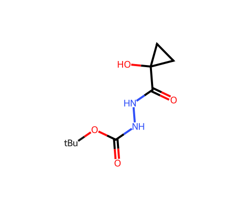 CC(C)(C)OC(=O)NNC(=O)C1(O)CC1